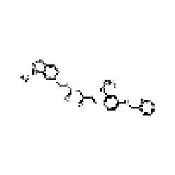 COc1cc(OCc2ccccn2)ccc1/C=C/C(=O)CC(=O)/C=C/c1ccc2ccn(C)c2c1